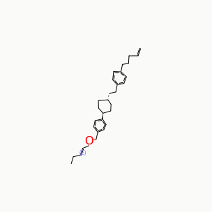 C=CCCCc1ccc(CC[C@H]2CC[C@H](c3ccc(COC/C=C/CC)cc3)CC2)cc1